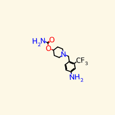 NC(=O)OC1CCN(Cc2ccc(N)cc2C(F)(F)F)CC1